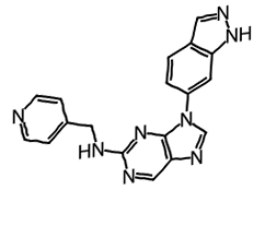 c1cc(CNc2ncc3ncn(-c4ccc5cn[nH]c5c4)c3n2)ccn1